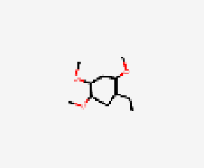 [CH2]CC1CC(OC)C(OC)CC1OC